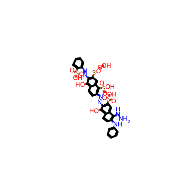 NNc1c(Nc2ccccc2)ccc2c(O)c(N=Nc3ccc4c(O)c(N=Nc5ccccc5S(=O)(=O)O)c(SOOO)cc4c3S(=O)(=O)O)c(S(=O)(=O)O)cc12